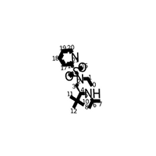 CCN(C[C@@H](NC(C)C)C(C)(C)C)S(=O)(=O)c1ccccn1